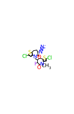 CN1C(=O)C(I)C(CN2C(=O)C(N=[N+]=[N-])CCc3sc(Cl)cc32)Cc2sc(Cl)cc21